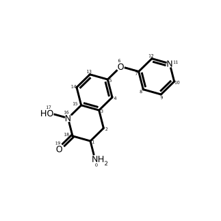 NC1Cc2cc(Oc3cccnc3)ccc2N(O)C1=O